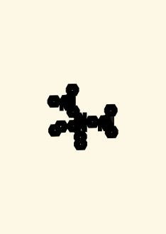 c1ccc(-c2cc(-c3ccc(-c4nc(-c5ccc(-c6nc(-c7ccccc7)cc(-c7ccccc7)n6)cc5)c5cc(-c6ccc7ccccc7c6)cc(-c6ccc7ccccc7c6)c5n4)cc3)nc(-c3ccccc3)n2)cc1